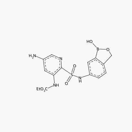 CCOC(=O)Nc1cc(N)cnc1S(=O)(=O)Nc1ccc2c(c1)B(O)OC2